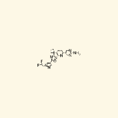 Nc1ncc(-c2ccc(C3(c4noc(-c5cnn(CC(F)F)c5)n4)CCC3)cn2)cn1